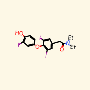 CCN(CC)C(=O)Cc1cc(I)c(Oc2ccc(O)c(I)c2)c(I)c1